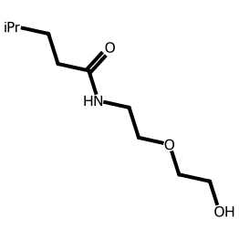 CC(C)CCC(=O)NCCOCCO